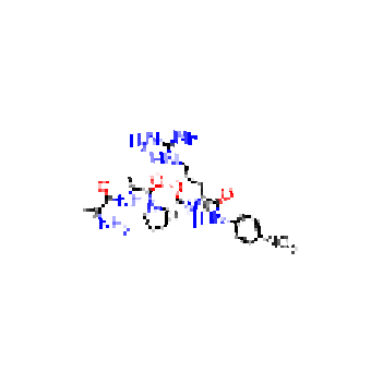 C[C@H](N)C(=O)N[C@@H](C)C(=O)N1CCC[C@H]1C(=O)N[C@@H](CCCNC(=N)N)C(=O)Nc1ccc([N+](=O)[O-])cc1